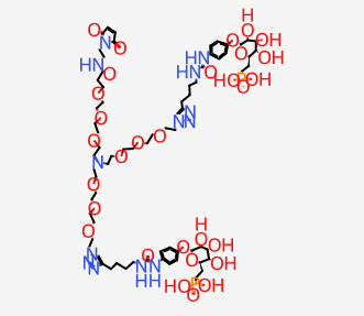 O=C(CCOCCOCCOCCN(CCOCCOCCOCCn1cc(CCCCNC(=O)Nc2ccc(O[C@H]3O[C@H](CCP(=O)(O)O)[C@@H](O)[C@H](O)[C@@H]3O)cc2)nn1)CCOCCOCCOCCn1cc(CCCCNC(=O)Nc2ccc(O[C@H]3O[C@H](CCP(=O)(O)O)[C@@H](O)[C@H](O)[C@@H]3O)cc2)nn1)NCCN1C(=O)C=CC1=O